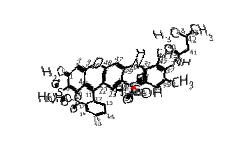 C=c1cc2c(cc1S(=O)(=O)O)=C(c1ccccc1S(=O)(=O)O)c1cc(S(=O)(=O)O)c(Nc3c(C)cc(C)c(NC(=O)CC(C)C)c3C)cc1O2